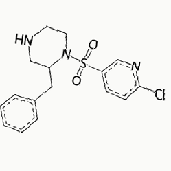 O=S(=O)(c1ccc(Cl)nc1)N1CCNCC1Cc1ccccc1